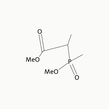 COC(=O)C(C)P(C)(=O)OC